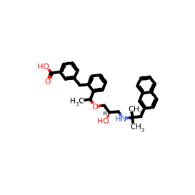 CC(OC[C@H](O)CNC(C)(C)Cc1ccc2ccccc2c1)c1ccccc1Cc1cccc(C(=O)O)c1